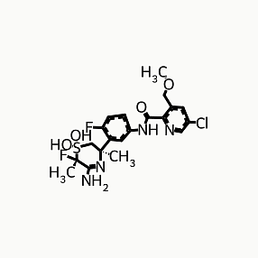 COCc1cc(Cl)cnc1C(=O)Nc1ccc(F)c([C@]2(C)CS(O)(O)[C@@](C)(F)C(N)=N2)c1